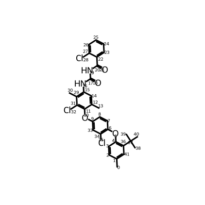 Cc1ccc(Oc2ccc(Oc3c(C)cc(NC(=O)NC(=O)c4ccccc4Cl)c(C)c3Cl)cc2Cl)c(C(C)(C)C)c1